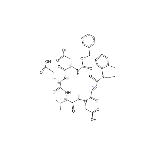 CC(C)[C@H](NC(=O)[C@H](CCC(=O)O)NC(=O)[C@H](CC(=O)O)NC(=O)OCc1ccccc1)C(=O)NN(CC(=O)O)C(=O)/C=C/C(=O)N1CCCc2ccccc21